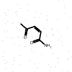 CC(=O)/C=C\C(N)=O